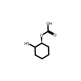 O=C(O)O[C@H]1CCCCC1S